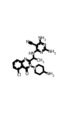 CC(Nc1nc(N)nc(N)c1C#N)c1nc2cccc(Cl)c2c(=O)n1N1CCC(N)CC1